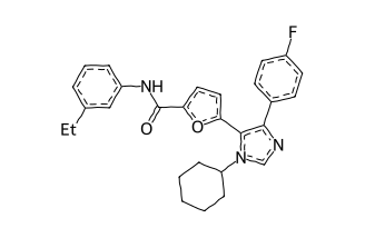 CCc1cccc(NC(=O)c2ccc(-c3c(-c4ccc(F)cc4)ncn3C3CCCCC3)o2)c1